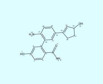 NC(=O)c1ccc(O)cc1-c1cc(C2=CC(O)CC2)ccc1N